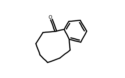 O=C1CCCCCCc2ccccc21